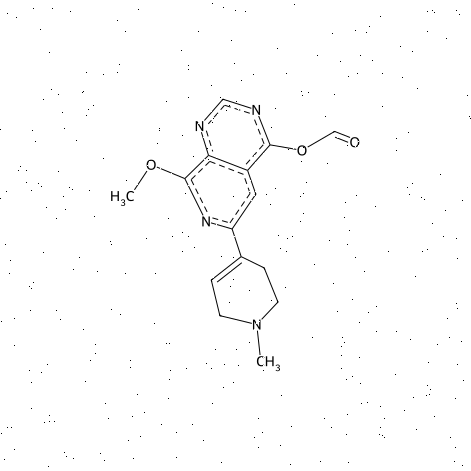 COc1nc(C2=CCN(C)CC2)cc2c(OC=O)ncnc12